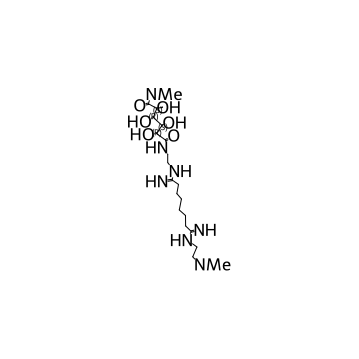 CNCCNC(=N)CCCCCCC(=N)NCCNC(=O)[C@H](O)[C@@H](O)[C@@H](O)[C@H](O)C(=O)NC